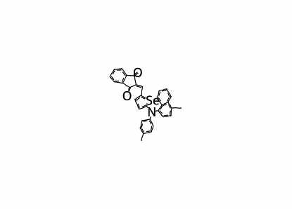 Cc1ccc(N(c2ccc(C=C3C(=O)c4ccccc4C3=O)[se]2)c2ccc(C)c3ccccc23)cc1